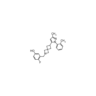 Cc1cc(C2CC3(C2)CN(Cc2cc(O)ccc2F)C3)n(-c2ccccc2C)n1